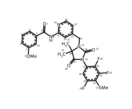 COc1cccc(C(=O)Nc2cc(CN3C(=O)N(c4cc(F)c(SC)c(F)c4F)C(=O)C3(C)C)ccn2)c1